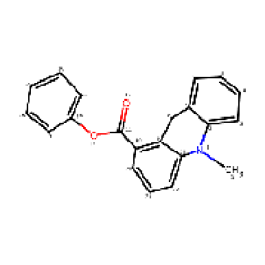 CN1c2ccccc2Cc2c(C(=O)Oc3ccccc3)cccc21